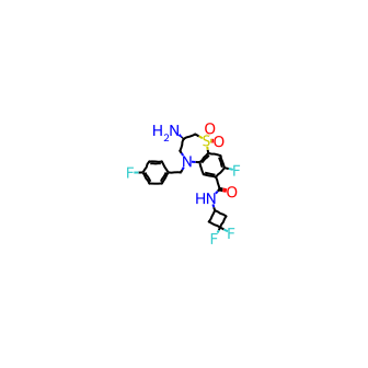 N[C@@H]1CN(Cc2ccc(F)cc2)c2cc(C(=O)NC3CC(F)(F)C3)c(F)cc2S(=O)(=O)C1